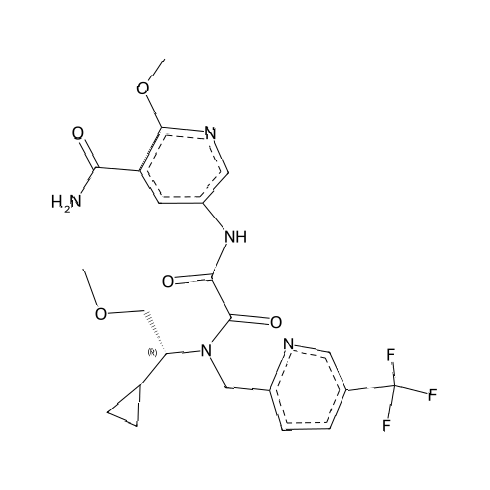 COC[C@@H](C1CC1)N(Cc1ccc(C(F)(F)F)cn1)C(=O)C(=O)Nc1cnc(OC)c(C(N)=O)c1